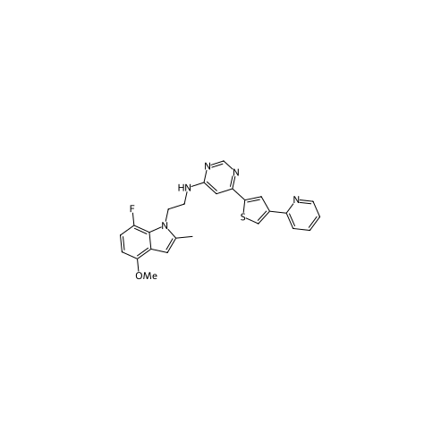 COc1ccc(F)c2c1cc(C)n2CCNc1cc(-c2cc(-c3ccccn3)cs2)ncn1